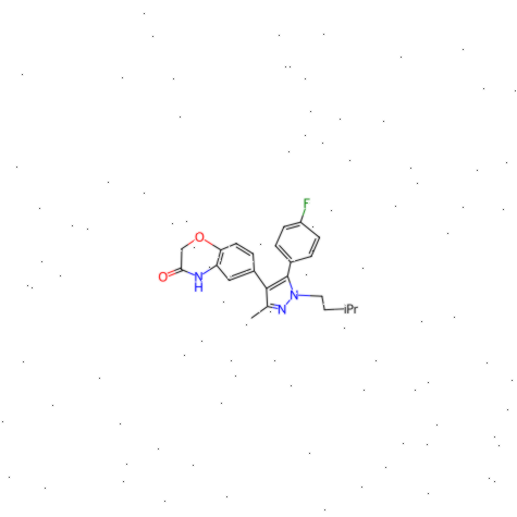 Cc1nn(CCC(C)C)c(-c2ccc(F)cc2)c1-c1ccc2c(c1)NC(=O)CO2